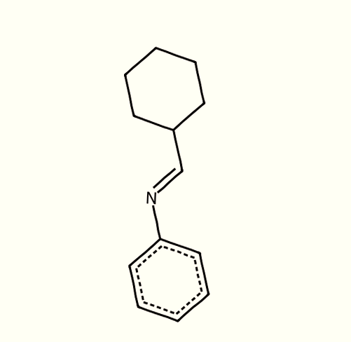 C(=N\c1ccccc1)/C1CCCCC1